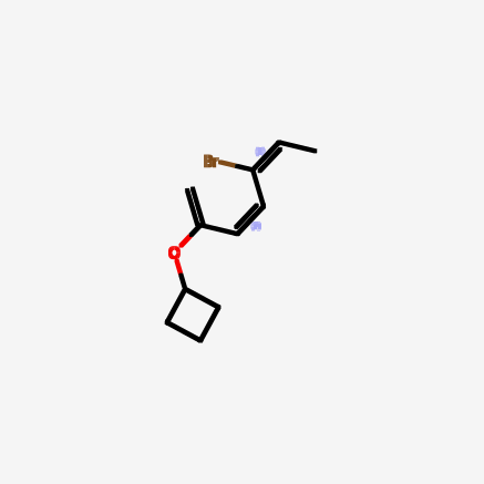 C=C(/C=C\C(Br)=C/C)OC1CCC1